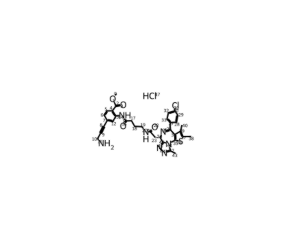 COC(=O)c1ccc(C#CCN)cc1NC(=O)CCCNC(=O)C[C@@H]1N=C(c2ccc(Cl)cc2)c2c(sc(C)c2C)-n2c(C)nnc21.Cl